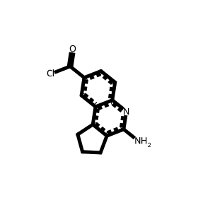 Nc1nc2ccc(C(=O)Cl)cc2c2c1CCC2